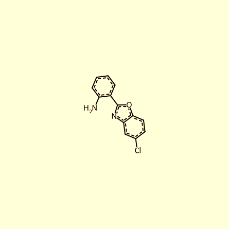 Nc1ccccc1-c1nc2cc(Cl)ccc2o1